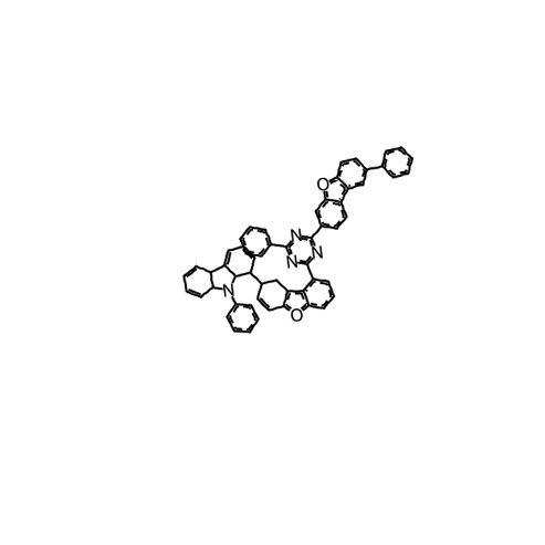 C1=CC2C3=CC=CC(C4C=Cc5oc6cccc(-c7nc(-c8ccccc8)nc(-c8ccc9c(c8)oc8ccc(-c%10ccccc%10)cc89)n7)c6c5C4)C3N(c3ccccc3)C2C=C1